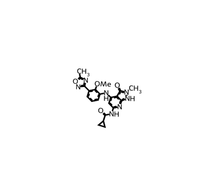 COc1c(Nc2cc(NC(=O)C3CC3)nc3[nH]n(C)c(=O)c23)cccc1-c1noc(C)n1